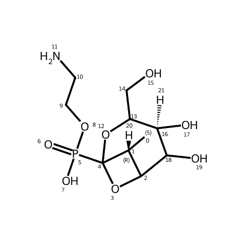 C[C@@H]1C2OC1(P(=O)(O)OCCN)OC(CO)[C@@H](O)C2O